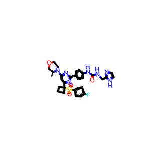 C[C@H]1COCCN1c1cc(C2(S(=O)(=O)c3ccc(F)cc3)CCC2)nc(-c2ccc(NC(=O)NCc3ncc[nH]3)cc2)n1